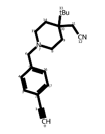 C#Cc1ccc(CN2CCC(CC#N)(C(C)(C)C)CC2)cc1